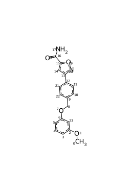 COc1cccc(OCc2ccc(-c3cc(C(N)=O)on3)cc2)c1